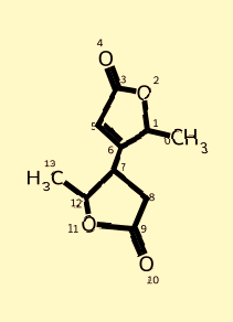 CC1OC(=O)C=C1C1CC(=O)OC1C